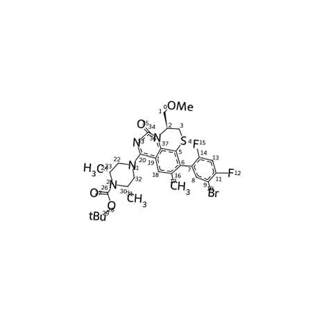 COC[C@H]1CSc2c(-c3cc(Br)c(F)cc3F)c(C)cc3c(N4C[C@@H](C)N(C(=O)OC(C)(C)C)[C@@H](C)C4)nc(=O)n1c23